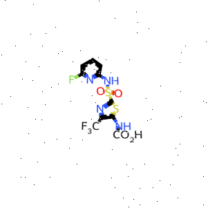 O=C(O)Nc1sc(S(=O)(=O)Nc2cccc(F)n2)nc1C(F)(F)F